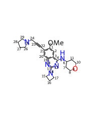 COc1cc2c(NC3CCOCC3)nc(N3CCC3)nc2cc1C#CCN1CCCC1